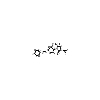 O=C1N(C2CC2)CC(O)N1c1c(F)cc(C#Cc2ccccc2)cc1F